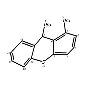 CC(C)(C)c1cccc2c1C(C(C)(C)C)c1ccccc1S2